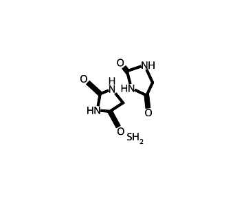 O=C1CNC(=O)N1.O=C1CNC(=O)N1.S